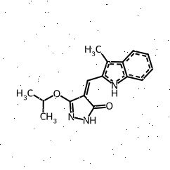 Cc1c(C=C2C(=O)NN=C2OC(C)C)[nH]c2ccccc12